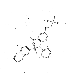 COc1cc(OCC(F)(F)F)ccc1N(c1ccncn1)S(=O)(=O)c1ccc2cnccc2c1